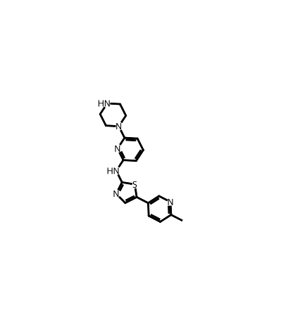 Cc1ccc(-c2cnc(Nc3cccc(N4CCNCC4)n3)s2)cn1